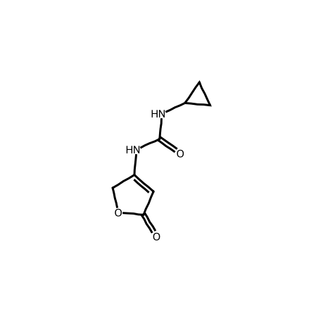 O=C(NC1=CC(=O)OC1)NC1CC1